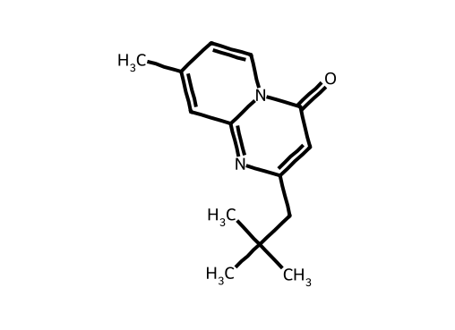 Cc1ccn2c(=O)cc(CC(C)(C)C)nc2c1